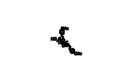 CC(=O)Oc1ccc(CCC(CC(=O)O)CC(=O)OC(=O)CC(CCc2ccc(OC(C)=O)cc2)CC(=O)O)cc1